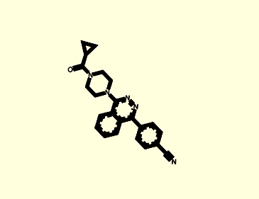 N#Cc1ccc(-c2nnc(N3CCN(C(=O)C4CC4)CC3)c3ccccc23)cc1